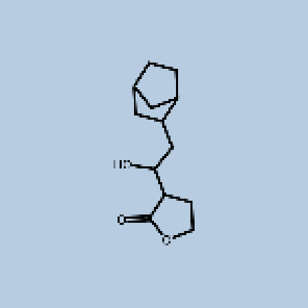 O=C1OCCC1C(O)CC1CC2CCC1C2